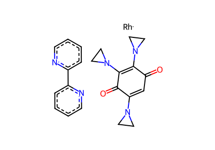 O=C1C=C(N2CC2)C(=O)C(N2CC2)=C1N1CC1.[Rh].c1ccc(-c2ccccn2)nc1